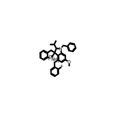 COc1cc(Cc2ccccc2F)c2c(c1)N(Cc1ccccc1)C(C(C)C)C2(Cc1ccccc1F)C(N)=O